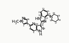 Cn1cc(-c2ccc3[nH]nc(-c4nc5c(N6CCCCC6)cccc5[nH]4)c3n2)cn1